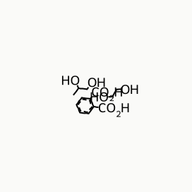 CC(O)CO.O=C(O)c1ccccc1C(=O)O.OCCO